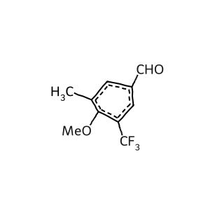 COc1c(C)cc(C=O)cc1C(F)(F)F